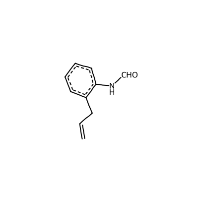 C=CCc1ccccc1NC=O